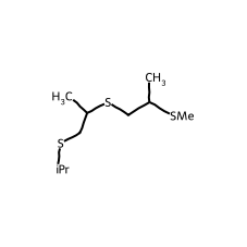 CSC(C)CSC(C)CSC(C)C